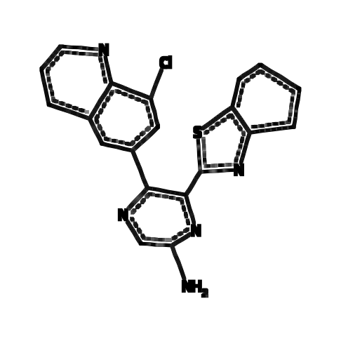 Nc1cnc(-c2cc(Cl)c3ncccc3c2)c(-c2nc3ccccc3s2)n1